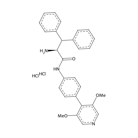 COc1cncc(OC)c1-c1ccc(NC(=O)[C@@H](N)C(c2ccccc2)c2ccccc2)cc1.Cl.Cl